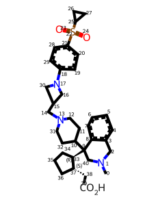 CN1Cc2ccccc2C(C2CCN(CC3CN(c4ccc(S(=O)(=O)C5CC5)cc4)C3)CC2)([C@@H]2CCC[C@H]2CC(=O)O)C1